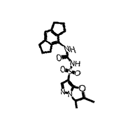 CC1Oc2c(S(=O)(=O)NC(=O)Nc3c4c(cc5c3CCC5)CCC4)cnn2C1C